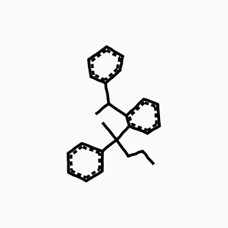 CCCC(C)(c1ccccc1)c1ccccc1C(C)c1ccccc1